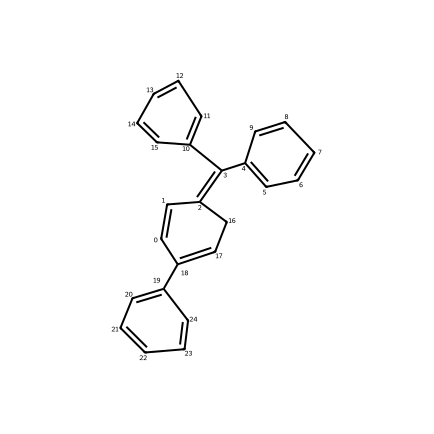 C1=CC(=C(c2ccccc2)c2ccccc2)CC=C1c1ccccc1